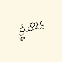 [2H]C([2H])([2H])N1CCc2nc(Cl)nc(Oc3cnc4c(ccc5sc6c(c54)NCC(C)NC6=O)n3)c2C1